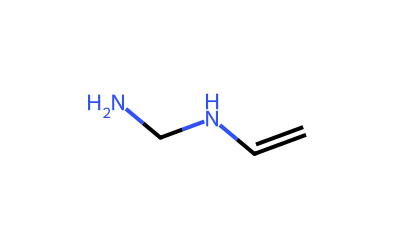 C=CNCN